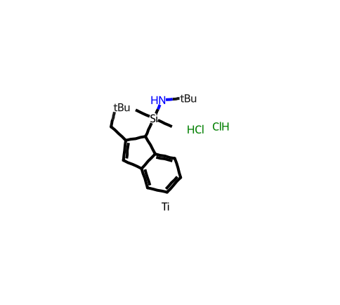 CC(C)(C)CC1=Cc2ccccc2C1[Si](C)(C)NC(C)(C)C.Cl.Cl.[Ti]